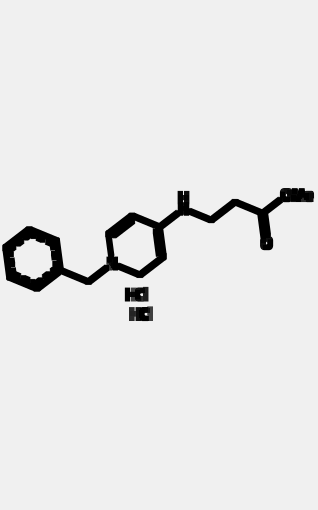 COC(=O)CCNC1=CCN(Cc2ccccc2)C=C1.Cl.Cl